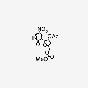 COC(=O)OC[C@@H]1C[C@@H](OC(C)=O)[C@H](c2cc([N+](=O)[O-])c[nH]c2=O)O1